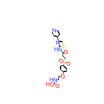 O=C(O)NCCOc1ccc(S(=O)(=O)CCC(=O)Nc2nc(-c3ccncc3)cs2)cc1